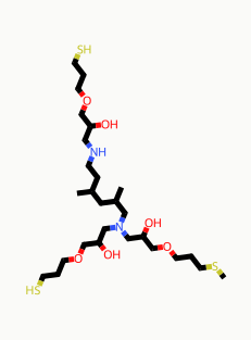 CSCCCOCC(O)CN(CC(C)CC(C)CCNCC(O)COCCCS)CC(O)COCCCS